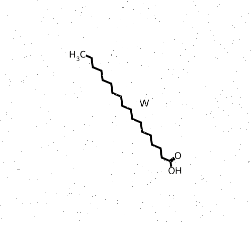 CCCCCCCCCCCCCCCCCC(=O)O.[W]